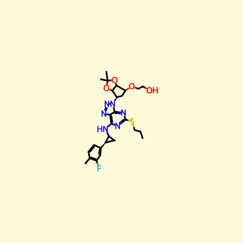 CCCSc1nc(NC2C[C@H]2c2ccc(C)c(F)c2)c2nnn([C@@H]3C[C@H](OCCO)C4OC(C)(C)OC43)c2n1